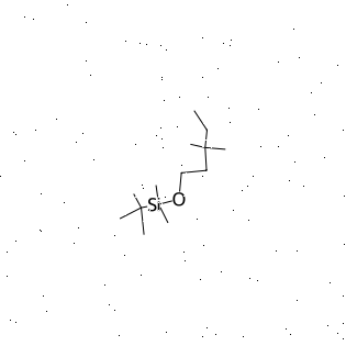 CCC(C)(C)CCO[Si](C)(C)C(C)(C)C